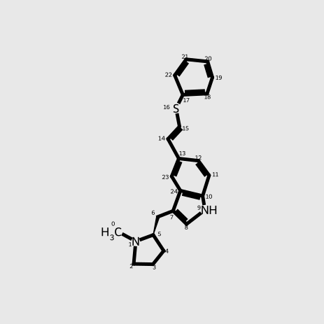 CN1CCC[C@@H]1Cc1c[nH]c2ccc(/C=C/Sc3ccccc3)cc12